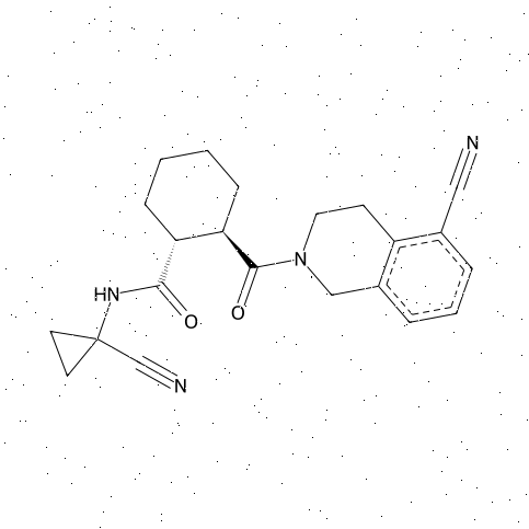 N#Cc1cccc2c1CCN(C(=O)[C@@H]1CCCC[C@H]1C(=O)NC1(C#N)CC1)C2